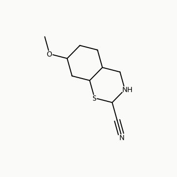 COC1CCC2CNC(C#N)SC2C1